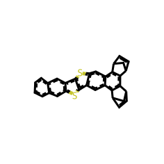 C1=CC2CC1c1c3c(c4cc5c(cc4c12)sc1c2cc4ccccc4cc2sc51)C1C=CC3C1